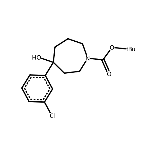 CC(C)(C)OC(=O)N1CCCC(O)(c2cccc(Cl)c2)CC1